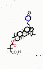 C=C(C)[C@@H]1CC[C@]2(CCN3CCN(CC)CC3)CC[C@]3(C)[C@H](CC[C@@H]4[C@@]5(C)CC[C@H](OC(=O)CC(C)(C)CC(=O)O)C(C)(C)[C@@H]5CC[C@]43C)[C@@H]12